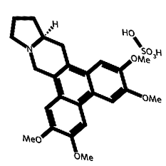 COc1cc2c3c(c4cc(OC)c(OC)cc4c2cc1OC)CN1CCC[C@H]1C3.O=S(=O)(O)O